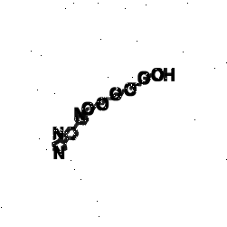 Cn1c2ccncc2c2ccc(-c3ccc(OCCOCCOCCOCCOCCO)nc3)cc21